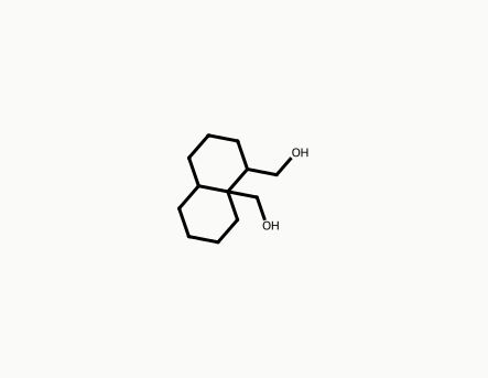 OCC1CCCC2CCCCC12CO